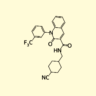 N#CC1CCC(CNC(=O)c2cc3ccccc3n(-c3cccc(C(F)(F)F)c3)c2=O)CC1